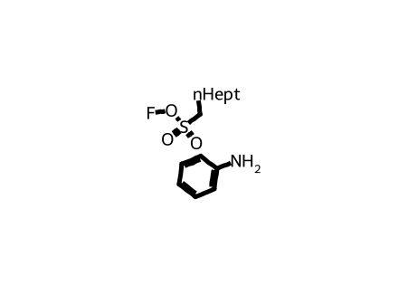 CCCCCCCCS(=O)(=O)OF.Nc1ccccc1